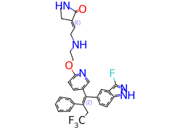 O=C1NCC/C1=C\CNCCOc1ccc(/C(=C(/CC(F)(F)F)c2ccccc2)c2ccc3[nH]nc(F)c3c2)cn1